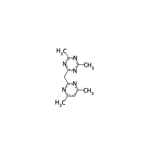 Cc1cc(C)nc(Cc2nc(C)nc(C)n2)n1